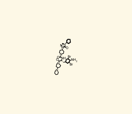 Nc1c(Br)cc(C[C@@H](NC(=O)N2CCC(n3ncn(-c4ccccc4)c3=O)CC2)C(=O)N2CCC(N3CCCCC3)CC2)cc1Br